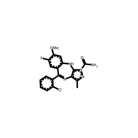 COc1cc2c(cc1F)C(c1ccccc1Cl)=Nc1c(C)nn(C(N)=O)c1N2